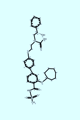 CS(=O)(=O)NC(=O)c1ccc(-c2ccc(OCCN(C[C@@H](O)c3ccccc3)C(=O)O)cc2)cc1OC1CCCCCC1